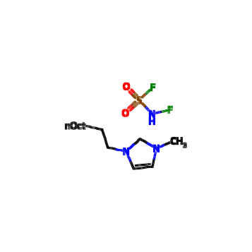 CCCCCCCCCCN1C=CN(C)C1.O=S(=O)(F)NF